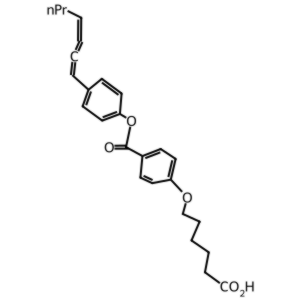 CCCC=C=C=Cc1ccc(OC(=O)c2ccc(OCCCCCC(=O)O)cc2)cc1